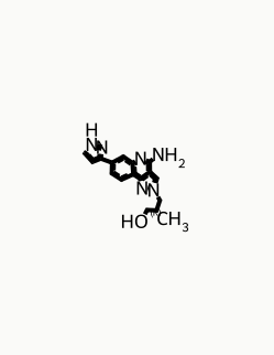 C[C@@H](CO)Cn1cc2c(N)nc3cc(-c4cc[nH]n4)ccc3c2n1